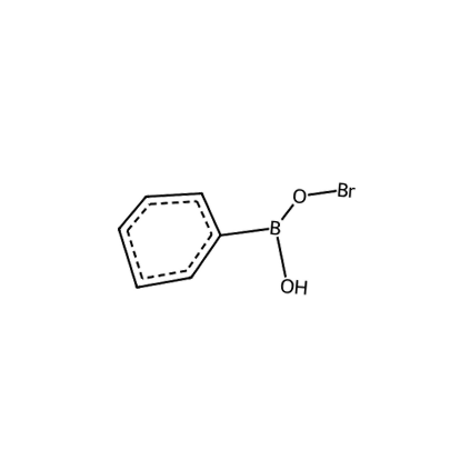 OB(OBr)c1ccccc1